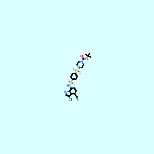 CC(C)(C)OC(=O)N1CCN(S(=O)(=O)c2ccc(S(=O)(=O)Nc3ccc(C#N)c4c(Cl)c[nH]c34)cc2)CC1